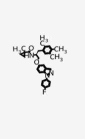 Cc1cc(C)c(C[C@@H](COc2ccc3c(cnn3-c3ccc(F)cc3)c2)NC(=O)C2(C)CC2)cc1C